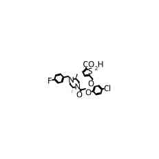 C[C@@H]1CN(Cc2ccc(F)cc2)[C@@H](C)CN1C(=O)COc1ccc(Cl)cc1OCc1ccc(C(=O)O)s1